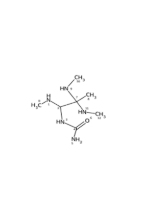 CNC(NC(N)=O)C(C)(NC)NC